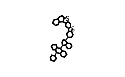 c1ccc(-c2c3ccccc3c(-c3ccc(-c4ccc5sc6cc7sc8ccc9ccccc9c8c7cc6c5c4)c4ccccc34)c3ccccc23)cc1